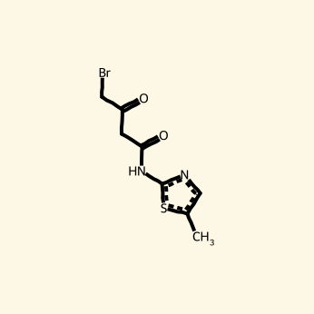 Cc1cnc(NC(=O)CC(=O)CBr)s1